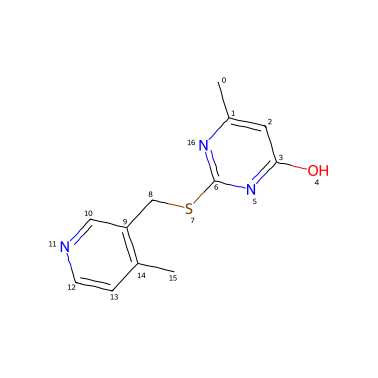 Cc1cc(O)nc(SCc2cnccc2C)n1